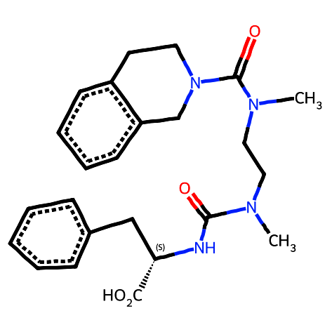 CN(CCN(C)C(=O)N1CCc2ccccc2C1)C(=O)N[C@@H](Cc1ccccc1)C(=O)O